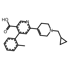 Cc1ccccc1-c1cc(C2=CCN(CC3CC3)CC2)ncc1C(=O)O